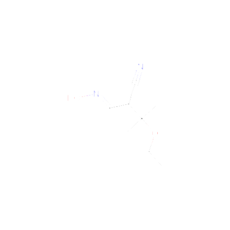 CCOC(C)(C)C(C#N)C=NO